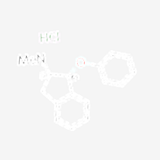 CN[C@H]1Cc2ccccc2[C@H]1Oc1ccccc1.Cl